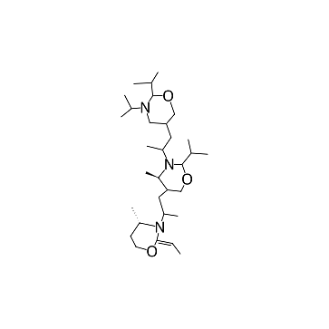 C/C=C1\OCC[C@H](C)N1C(C)CC1COC(C(C)C)N(C(C)CC2COC(C(C)C)N(C(C)C)C2)[C@@H]1C